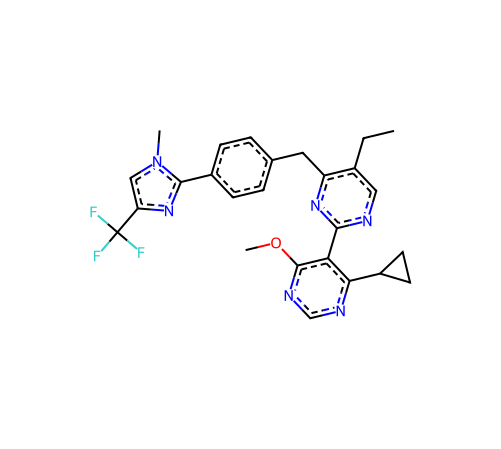 CCc1cnc(-c2c(OC)ncnc2C2CC2)nc1Cc1ccc(-c2nc(C(F)(F)F)cn2C)cc1